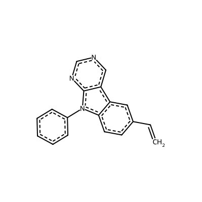 C=Cc1ccc2c(c1)c1cncnc1n2-c1ccccc1